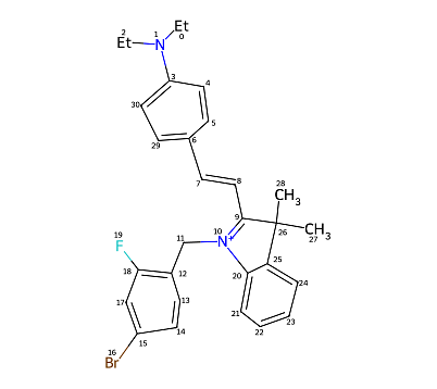 CCN(CC)c1ccc(/C=C/C2=[N+](Cc3ccc(Br)cc3F)c3ccccc3C2(C)C)cc1